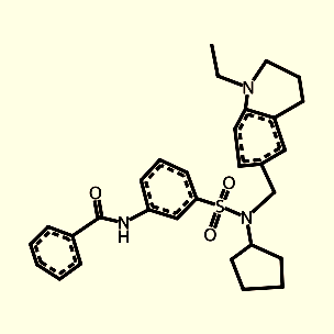 CCN1CCCc2cc(CN(C3CCCC3)S(=O)(=O)c3cccc(NC(=O)c4ccccc4)c3)ccc21